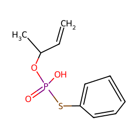 C=CC(C)OP(=O)(O)Sc1ccccc1